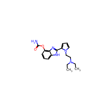 CCN(CC)CCn1cccc1-c1nc2c(OC(N)=O)cccc2[nH]1